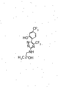 C[C@@H](O)CNc1nnc(-c2ccc(C(F)(F)F)cc2O)c(C(F)(F)F)n1